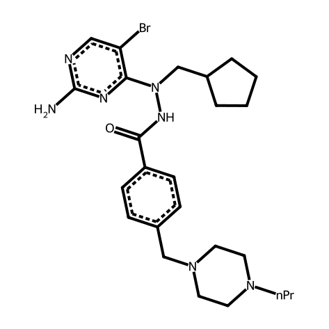 CCCN1CCN(Cc2ccc(C(=O)NN(CC3CCCC3)c3nc(N)ncc3Br)cc2)CC1